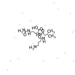 CC(C)[C@H](NC(=O)CCCN)C(=O)N[C@@H](CCCNC(N)=O)C(=O)O